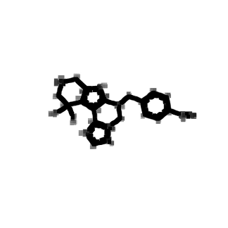 COc1ccc(CN2Cn3ncnc3-c3c2sc2c3C(F)(F)CNC2)cc1